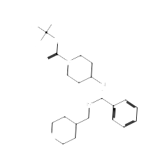 CC(C)(C)OC(=O)N1CCC(N[C@@H](NCC2CCOCC2)c2ccccc2)CC1